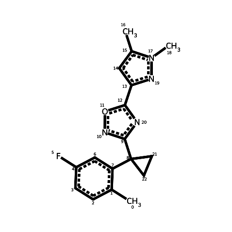 Cc1ccc(F)cc1C1(c2noc(-c3cc(C)n(C)n3)n2)CC1